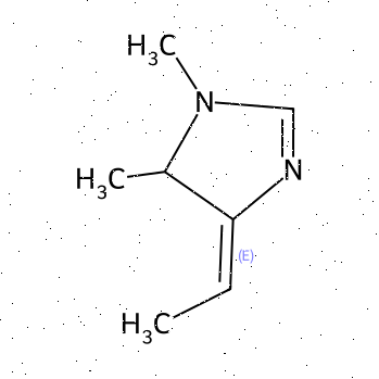 C/C=C1/N=CN(C)C1C